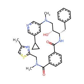 Cc1csc(CN(C)C(=O)c2cccc(C(=O)N[C@@H](Cc3ccccc3)[C@H](O)CN(C)c3cncc(C4CC4)c3)c2)n1